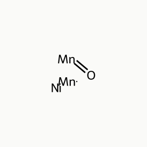 [Mn].[Ni].[O]=[Mn]